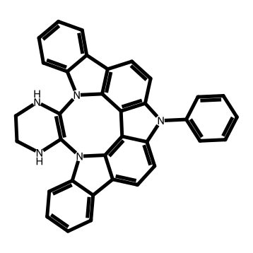 c1ccc(-n2c3ccc4c5ccccc5n5c6c(n7c8ccccc8c8ccc2c(c3c45)c87)NCCN6)cc1